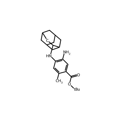 Cc1cc(NC2CC3CC4CC(C3)CC2C4)c(N)cc1C(=O)OC(C)(C)C